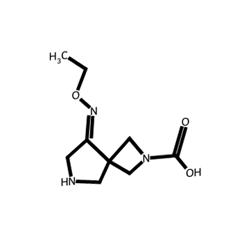 CCON=C1CNCC12CN(C(=O)O)C2